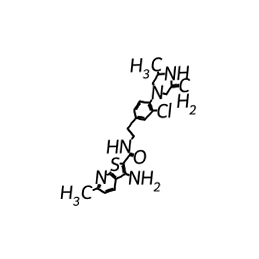 C=C1CN(c2ccc(CCNC(=O)c3sc4nc(C)ccc4c3N)cc2Cl)CC(C)N1